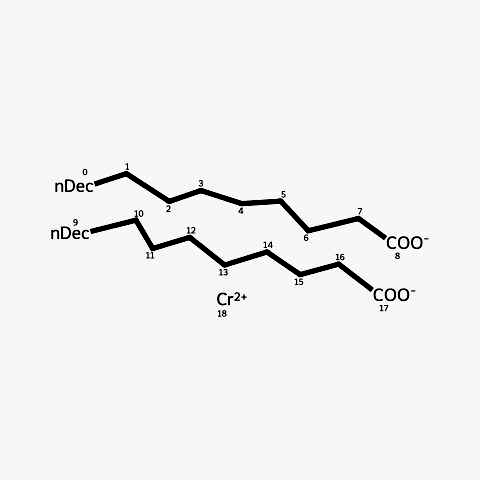 CCCCCCCCCCCCCCCCCC(=O)[O-].CCCCCCCCCCCCCCCCCC(=O)[O-].[Cr+2]